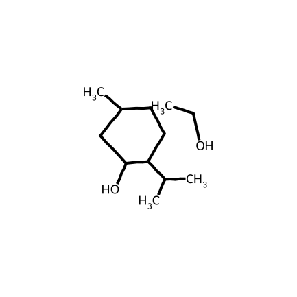 CC1CCC(C(C)C)C(O)C1.CCO